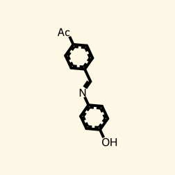 CC(=O)c1ccc(C=Nc2ccc(O)cc2)cc1